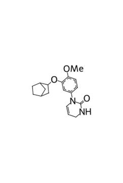 COc1ccc(N2C=CCNC2=O)cc1OC1CC2CCC1C2